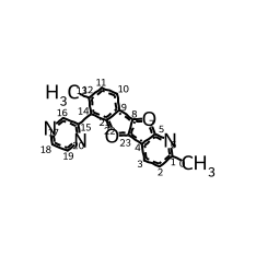 Cc1ccc2c(n1)oc1c3ccc(C)c(-c4cnccn4)c3oc21